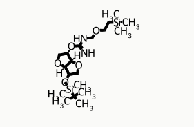 CC(C)(C)[Si](C)(C)OC1CO[C@H]2[C@@H]1OC[C@H]2OC(=N)NCOCC[Si](C)(C)C